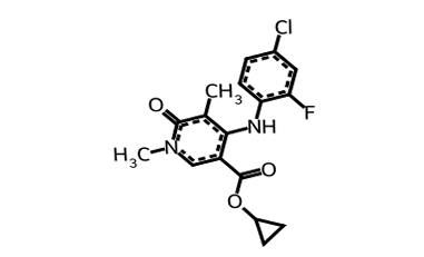 Cc1c(Nc2ccc(Cl)cc2F)c(C(=O)OC2CC2)cn(C)c1=O